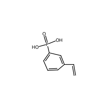 C=Cc1cccc(P(=O)(O)O)c1